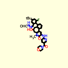 Cn1c2c(cc(Nc3ccc(C(=O)N4CCOCC4)cn3)c1=O)-c1cccc(-c3c(F)cc(C(C)(C)C)cc3/C=N\NC=O)c1CC(O)C2